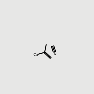 C#N.C=[C](C)[Cu]